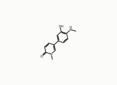 CNc1ccc(-c2ccc(=O)n(C)c2)cc1O